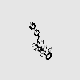 Cn1nc(NC(=O)c2ccccc2Cl)cc1C(=O)NCCC1CCN(c2ccncc2)CC1